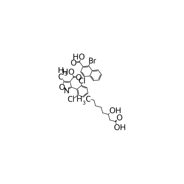 CCCCCC(O)CC(=O)O.Cc1onc(-c2c(Cl)cccc2Cl)c1C(=O)O.O=C(O)c1ccc2ccccc2c1Br